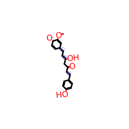 COC1=C/C(=C/C=C(\O)CC(=O)/C=C/c2ccc(O)cc2)C=CC1=O